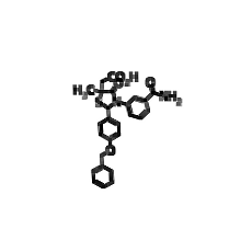 CC1(CC(=O)O)SC(c2ccc(OCc3ccccc3)cc2)N(c2cccc(C(N)=O)c2)C1=O